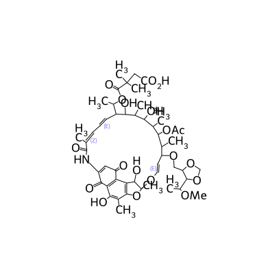 COC(C)C1OCOC1COC1/C=C/OC2(C)Oc3c(C)c(O)c4c(c3C2O)C(=O)C=C(NC(=O)/C(C)=C\C=C\C(C(C)OC(=O)C(C)(C)CC(=O)O)C(O)C(C)C(O)C(C)C(OC(C)=O)C1C)C4=O